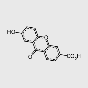 O=C(O)c1ccc2c(=O)c3cc(O)ccc3oc2c1